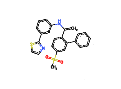 C=C(Nc1cccc(-c2nccs2)c1)c1ccc(S(C)(=O)=O)cc1-c1ccccc1